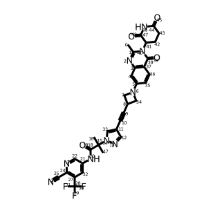 Cc1nc2cc(N3CC(C#Cc4cnn(C(C)(C)C(=O)Nc5cnc(C#N)c(C(F)(F)F)c5)c4)C3)ccc2c(=O)n1C1CCC(=O)NC1=O